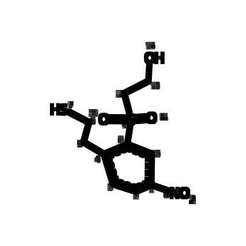 O=[N+]([O-])c1ccc(CCS)c(S(=O)(=O)CCO)c1